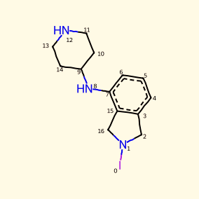 IN1Cc2cccc(NC3CCNCC3)c2C1